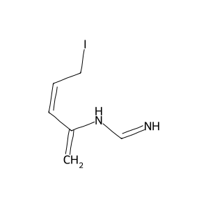 C=C(/C=C\CI)NC=N